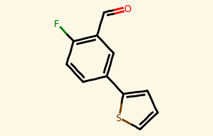 O=Cc1cc(-c2cccs2)ccc1F